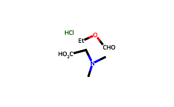 CCOC=O.CN(C)CC(=O)O.Cl